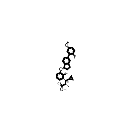 COc1ccc(F)c(-c2ccc3c(c2)CC[C@H]3Oc2cccc([C@H](C3CC3)[C@H](C)C(=O)O)c2F)c1